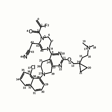 C=C(F)C(=O)N1CCN(c2nc(OCC3(CCN(C)C)CC3)nc3c2CCN(c2cccc4cccc(Cl)c24)C3)C=C1CC#N